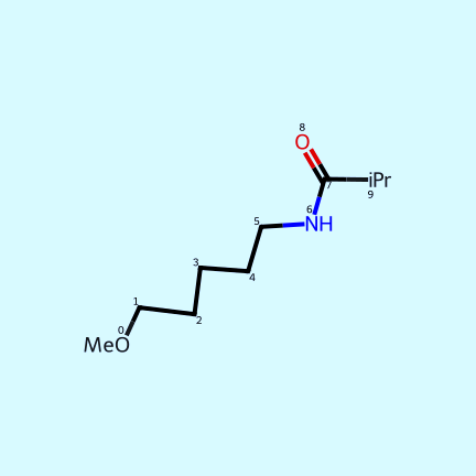 COCCCCCNC(=O)C(C)C